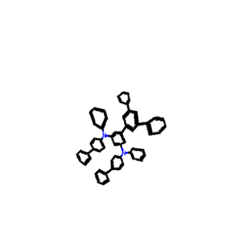 c1ccc(-c2ccc(N(c3ccccc3)c3cc(-c4cc(-c5ccccc5)cc(-c5ccccc5)c4)cc(N(c4ccccc4)c4ccc(-c5ccccc5)cc4)c3)cc2)cc1